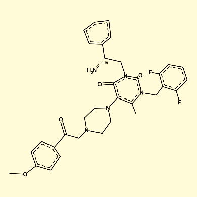 COc1ccc(C(=O)CN2CCN(c3c(C)n(Cc4c(F)cccc4F)c(=O)n(C[C@H](N)c4ccccc4)c3=O)CC2)cc1